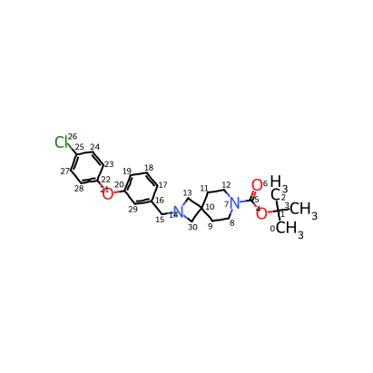 CC(C)(C)OC(=O)N1CCC2(CC1)CN(Cc1cccc(Oc3ccc(Cl)cc3)c1)C2